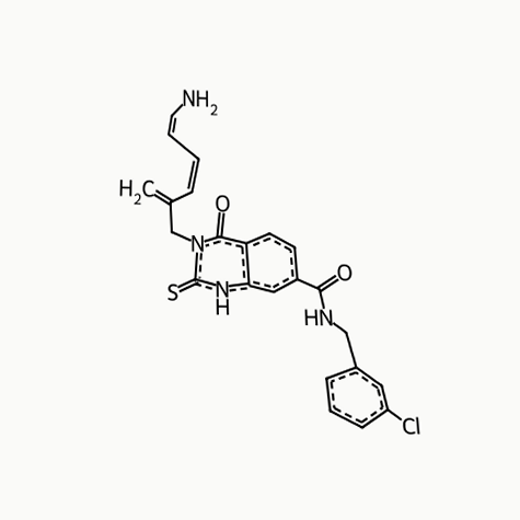 C=C(/C=C\C=C/N)Cn1c(=S)[nH]c2cc(C(=O)NCc3cccc(Cl)c3)ccc2c1=O